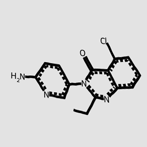 CCc1nc2cccc(Cl)c2c(=O)n1-c1ccc(N)nc1